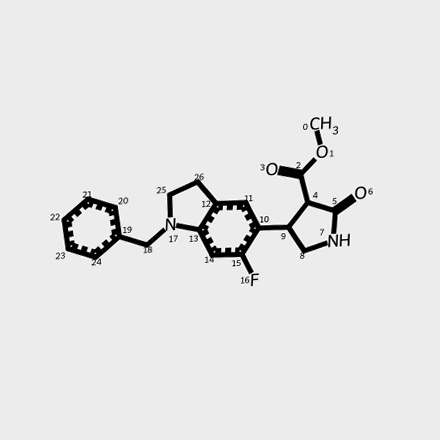 COC(=O)C1C(=O)NCC1c1cc2c(cc1F)N(Cc1ccccc1)CC2